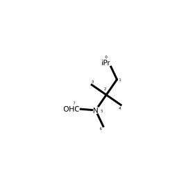 CC(C)CC(C)(C)N(C)C=O